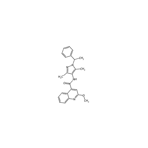 COc1cc(C(=O)Nc2c(C)nn(C(C)c3ccccc3)c2C)c2ccccc2n1